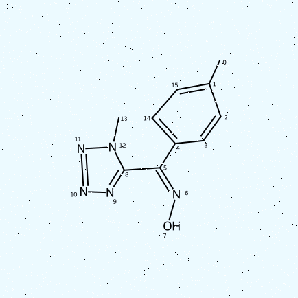 Cc1ccc(C(=NO)c2nnnn2C)cc1